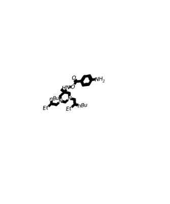 CCCCC(CC)CN1CN(CC(CC)CCCC)CC(C)(NOC(=O)c2ccc(N)cc2)C1